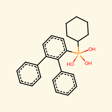 OP(O)(O)(c1cccc(-c2ccccc2)c1-c1ccccc1)C1CCCCC1